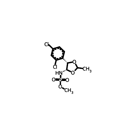 COS(=O)(=O)N[C@H]1OC(C)O[C@H]1c1ccc(Cl)cc1Cl